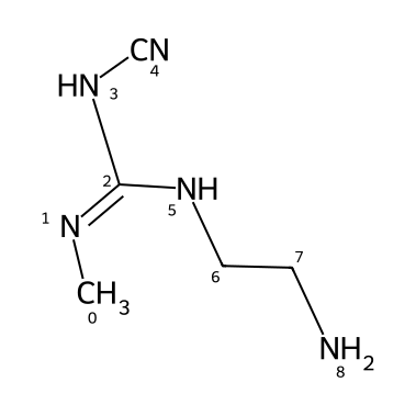 C/N=C(/NC#N)NCCN